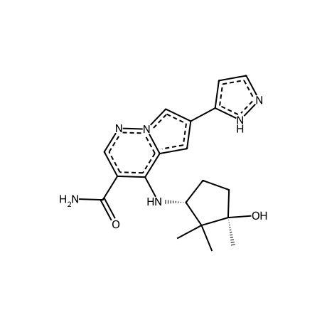 CC1(C)[C@H](Nc2c(C(N)=O)cnn3cc(-c4ccn[nH]4)cc23)CC[C@@]1(C)O